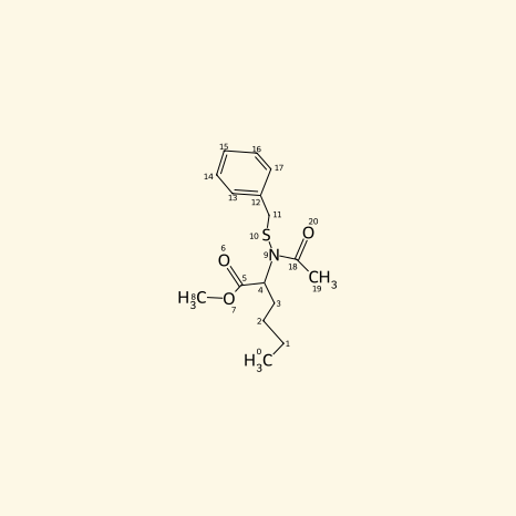 CCCCC(C(=O)OC)N(SCc1ccccc1)C(C)=O